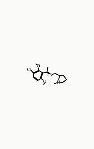 COc1ccc(Cl)c(OC)c1/C(C)=N/CC1CCCN1C